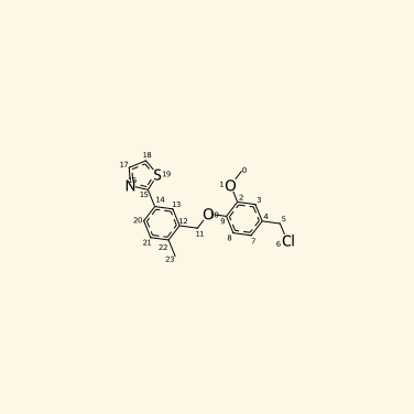 COc1cc(CCl)ccc1OCc1cc(-c2nccs2)ccc1C